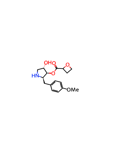 COc1ccc(C[C@H]2NC[C@H](O)[C@H]2OC(=O)C2CCO2)cc1